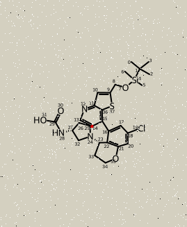 CC(C)(C)[Si](C)(C)OCc1cc2nccc(-c3cc(Cl)cc4c3[C@@H](N3CC[C@@H](NC(=O)O)C3)CCO4)c2s1